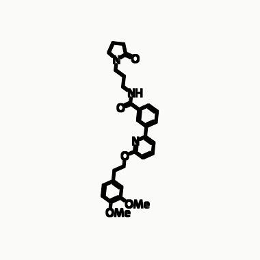 COc1ccc(CCOc2cccc(-c3cccc(C(=O)NCCCN4CCCC4=O)c3)n2)cc1OC